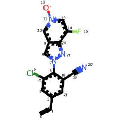 C=Cc1cc(Cl)c(-n2cc3c[n+]([O-])cc(F)c3n2)c(C#N)c1